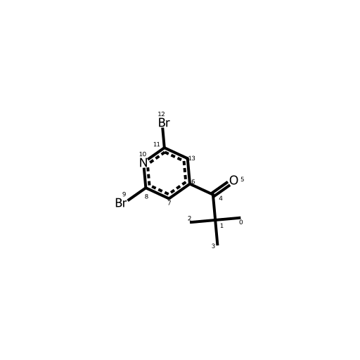 CC(C)(C)C(=O)c1cc(Br)nc(Br)c1